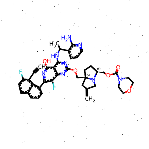 C#Cc1c(F)ccc2cccc(-c3nc(O)c4c(NC(C)c5cccnc5N)nc(OC[C@@]56CC[C@@H](COC(=O)N7CCOCC7)N5CC(=C)C6)nc4c3F)c12